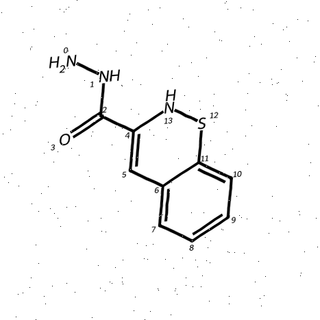 NNC(=O)C1=Cc2ccccc2SN1